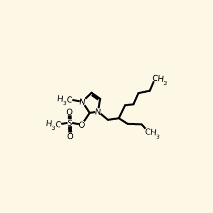 CCCCCC(CCC)CN1C=CN(C)C1OS(C)(=O)=O